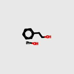 CC(C)O.OCCc1ccccc1